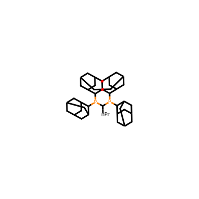 CCCC(P(C1C2CC3CC(C2)CC1C3)C1C2CC3CC(C2)CC1C3)P(C1C2CC3CC(C2)CC1C3)C1C2CC3CC(C2)CC1C3